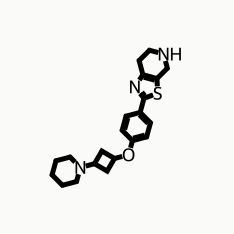 c1cc(-c2nc3c(s2)CNCC3)ccc1OC1CC(N2CCCCC2)C1